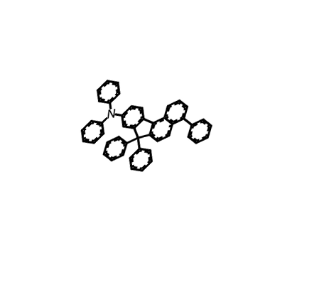 c1ccc(-c2cccc3c4c(ccc23)C(c2ccccc2)(c2ccccc2)c2cc(N(c3ccccc3)c3ccccc3)ccc2-4)cc1